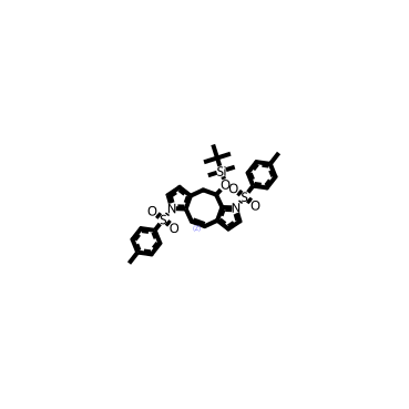 Cc1ccc(S(=O)(=O)n2ccc3c2/C=C\c2ccn(S(=O)(=O)c4ccc(C)cc4)c2C(O[Si](C)(C)C(C)(C)C)C3)cc1